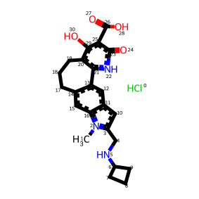 Cl.Cn1c(CNC2CCC2)cc2cc3c(cc21)CCCc1c-3[nH]c(=O)c(C(=O)O)c1O